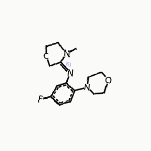 CN1CCCC/C1=N\c1cc(F)ccc1N1CCOCC1